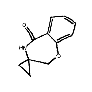 O=C1NC2(CC2)COc2ccccc21